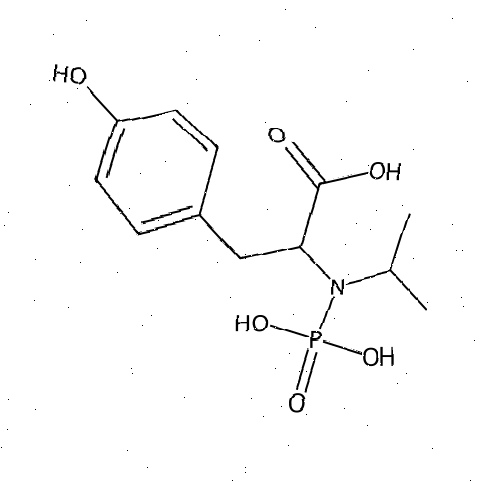 CC(C)N(C(Cc1ccc(O)cc1)C(=O)O)P(=O)(O)O